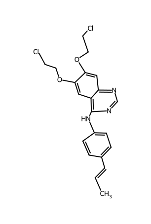 C/C=C/c1ccc(Nc2ncnc3cc(OCCCl)c(OCCCl)cc23)cc1